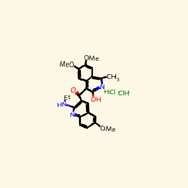 CCNc1nc2ccc(OC)cc2cc1C(=O)c1c(O)nc(C)c2cc(OC)c(OC)cc12.Cl.Cl